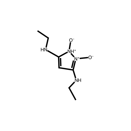 CCNC1=CC(NCC)=[N+]([O-])[NH+]1[O-]